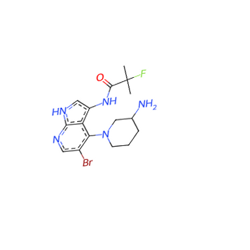 CC(C)(F)C(=O)Nc1c[nH]c2ncc(Br)c(N3CCCC(N)C3)c12